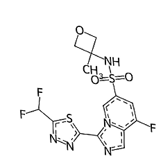 CC1(NS(=O)(=O)c2cc(F)c3cnc(-c4nnc(C(F)F)s4)n3c2)COC1